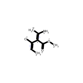 C/C=C(Cl)\C(C(=O)OC)=C(/C)N